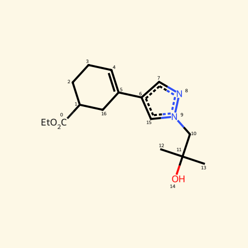 CCOC(=O)C1CCC=C(c2cnn(CC(C)(C)O)c2)C1